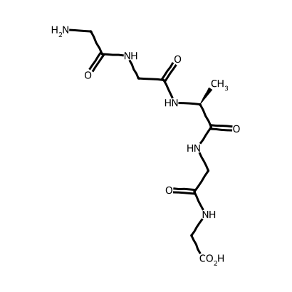 C[C@H](NC(=O)CNC(=O)CN)C(=O)NCC(=O)NCC(=O)O